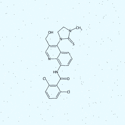 CN1CCN(c2c(CO)cnc3c(NC(=O)c4c(Cl)cccc4Cl)cccc23)C1=S